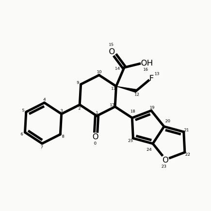 O=C1C(C2C=CC=CC2)CC[C@](CF)(C(=O)O)C1C1=CC2=CCOC2=C1